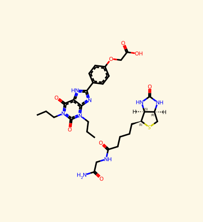 CCCn1c(=O)c2[nH]c(-c3ccc(OCC(=O)O)cc3)nc2n(CCC)c1=O.NC(=O)CNC(=O)CCCC[C@@H]1SC[C@@H]2NC(=O)N[C@@H]21